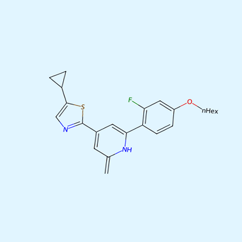 C=C1C=C(c2ncc(C3CC3)s2)C=C(c2ccc(OCCCCCC)cc2F)N1